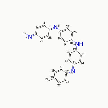 CN=C1C=CC(=Nc2ccc(NC3C=CC(=Nc4ccc(C)cc4)C=C3)cc2)C=C1